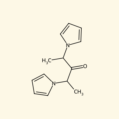 CC(C(=O)C(C)n1cccc1)n1cccc1